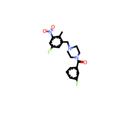 Cc1c(CN2CCN(C(=O)c3cccc(F)c3)CC2)cc(F)cc1[N+](=O)[O-]